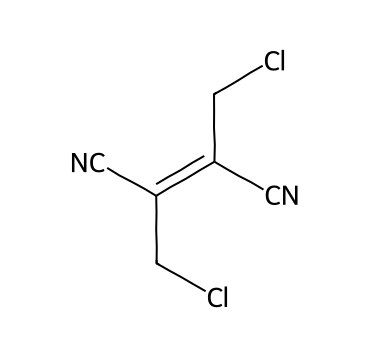 N#CC(CCl)=C(C#N)CCl